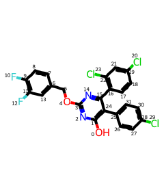 Oc1nc(OCc2ccc(F)c(F)c2)nc(-c2ccc(Cl)cc2Cl)c1-c1ccc(Cl)cc1